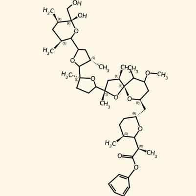 COC1C[C@@H](C[C@H]2CC[C@H](C)C([C@@H](C)C(=O)Oc3ccccc3)O2)O[C@]2(O[C@](C)(C3CC[C@@](C)(C4OC(C5O[C@@](O)(CO)[C@H](C)C[C@@H]5C)C[C@@H]4C)O3)C[C@H]2C)C1C